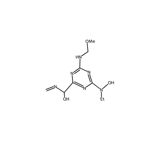 C=NC(O)c1nc(NCOC)nc(N(O)CC)n1